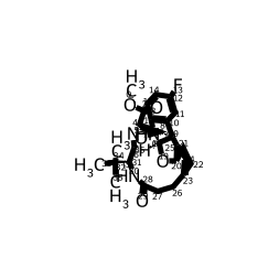 COC(=O)c1nc2oc1[C@@]13c4cc(F)ccc4N[C@@H]1Oc1ccc(cc13)CCC(=O)N[C@H]2C(C)(C)C